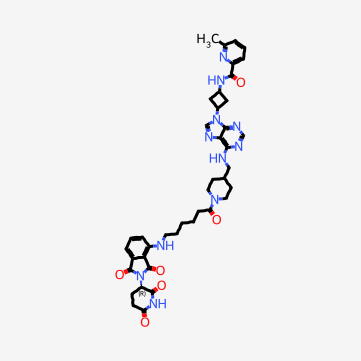 Cc1cccc(C(=O)NC2CC(n3cnc4c(NCC5CCN(C(=O)CCCCCNc6cccc7c6C(=O)N([C@@H]6CCC(=O)NC6=O)C7=O)CC5)ncnc43)C2)n1